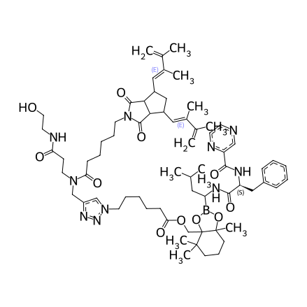 C=C(C)/C(C)=C/C1CC(/C=C(\C)C(=C)C)C2C(=O)N(CCCCCC(=O)N(CCC(=O)NCCO)Cc3cn(CCCCCC(=O)OCC45OB(C(CC(C)C)NC(=O)[C@H](Cc6ccccc6)NC(=O)c6cnccn6)OC4(C)CCCC5(C)C)nn3)C(=O)C12